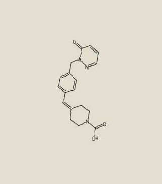 O=C(O)N1CCC(=Cc2ccc(Cn3ncccc3=O)cc2)CC1